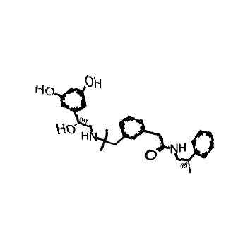 C[C@@H](CNC(=O)Cc1cccc(CC(C)(C)NC[C@H](O)c2cc(O)cc(O)c2)c1)c1ccccc1